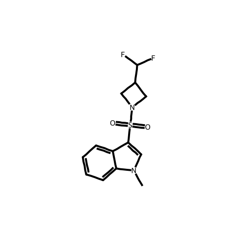 Cn1cc(S(=O)(=O)N2CC(C(F)F)C2)c2ccccc21